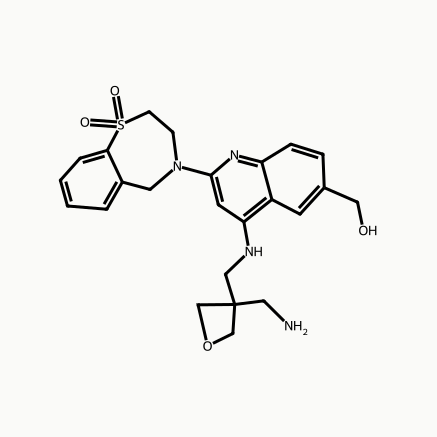 NCC1(CNc2cc(N3CCS(=O)(=O)c4ccccc4C3)nc3ccc(CO)cc23)COC1